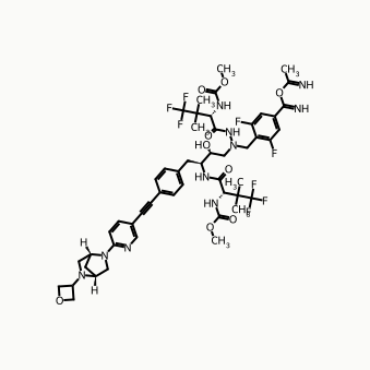 COC(=O)N[C@H](C(=O)N[C@@H](Cc1ccc(C#Cc2ccc(N3C[C@H]4C[C@@H]3CN4C3COC3)nc2)cc1)[C@@H](O)CN(Cc1c(F)cc(C(=N)OC(C)=N)cc1F)NC(=O)[C@@H](NC(=O)OC)C(C)(C)C(F)(F)F)C(C)(C)C(F)(F)F